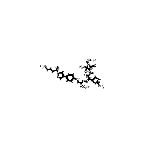 CCOC(=O)[C@H](COc1ccc(-c2cnn(C(CC)CCCN)c2)cc1)O/N=C(\C(=O)N[C@@H]1C(=O)N(OS(=O)(=O)O)C1(C)C)c1csc(N)n1